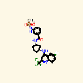 CS(=O)(=O)Nc1cccc(C(=O)N[C@H]2CCC[C@@H](Nc3cc(C(F)(F)F)nc4ccc(Cl)cc34)C2)c1